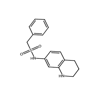 O=S(=O)(Cc1ccccc1)Nc1ccc2c(c1)NCCC2